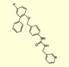 O=C(NCc1cccnc1)Nc1ccc(COc2ccc(F)cc2-c2ccccc2)cc1